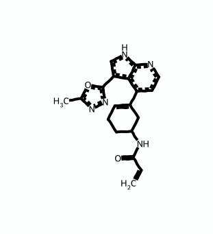 C=CC(=O)NC1CCC=C(c2ccnc3[nH]cc(-c4nnc(C)o4)c23)C1